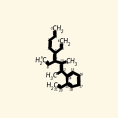 C=C\C=C/C(C=C)=C(C=C)/C(C)=C(\C)c1ccccc1C=C